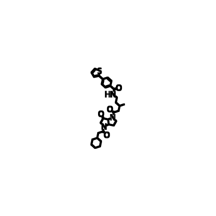 CC(CCNC(=O)c1ccc(-c2cccs2)cc1)CC(=O)N1CCC2C1C(=O)CN2C(=O)CC1CCCCC1